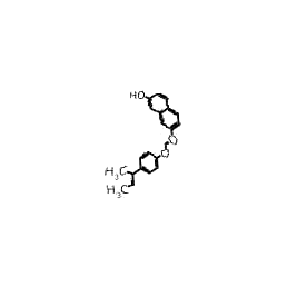 CCC(C)c1ccc(OCOc2ccc3ccc(O)cc3c2)cc1